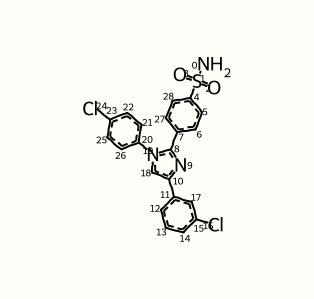 NS(=O)(=O)c1ccc(-c2nc(-c3cccc(Cl)c3)cn2-c2ccc(Cl)cc2)cc1